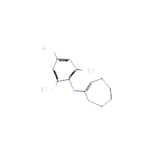 Cc1cc(C)c([I+]C2=CCCCCC2)c(C)c1